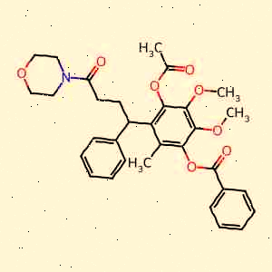 COc1c(OC(=O)c2ccccc2)c(C)c(C(CCC(=O)N2CCOCC2)c2ccccc2)c(OC(C)=O)c1OC